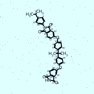 CC(C)c1ccc(N2C(=O)c3ccc(Oc4ccc(C(C)(C)c5ccc(Oc6ccc7c(c6)C(=O)NC7=O)cc5)cc4)cc3C2=O)cc1